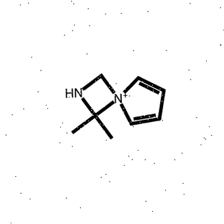 CC1(C)NC[N+]12C=CC=C2